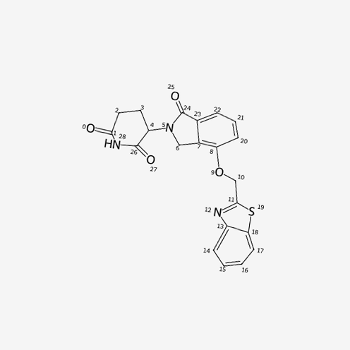 O=C1CCC(N2Cc3c(OCc4nc5ccccc5s4)cccc3C2=O)C(=O)N1